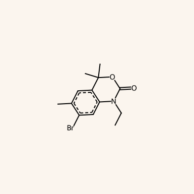 CCN1C(=O)OC(C)(C)c2cc(C)c(Br)cc21